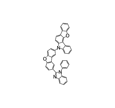 c1ccc(-n2c(-c3ccc4oc5ccc(-n6c7ccccc7c7c8oc9ccccc9c8ccc76)cc5c4c3)nc3ccccc32)cc1